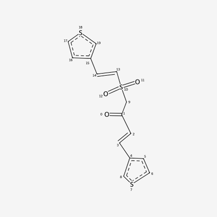 O=C(C=Cc1ccsc1)CS(=O)(=O)C=Cc1ccsc1